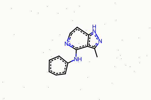 Cc1n[nH]c2ccnc(Nc3ccccc3)c12